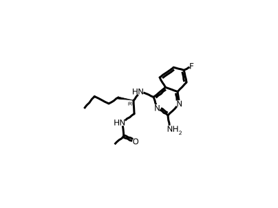 CCCC[C@H](CNC(C)=O)Nc1nc(N)nc2cc(F)ccc12